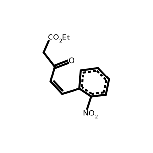 CCOC(=O)CC(=O)/C=C\c1ccccc1[N+](=O)[O-]